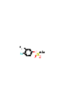 CCC(C)S(=O)(=O)Oc1ccc(F)c(C(F)(F)F)c1